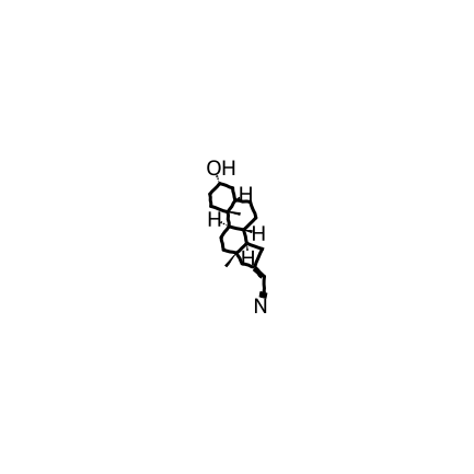 C[C@@]12CC[C@@H]3[C@H](CC[C@@H]4C[C@@H](O)CC[C@]43C)[C@H]1CC(=CC#N)C2